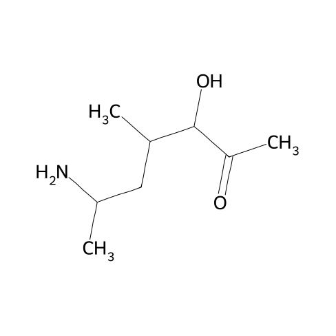 CC(=O)C(O)C(C)CC(C)N